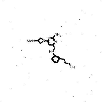 CNC1CN(c2cc(CNc3cccc(CCCO)c3)nc(N)n2)C1